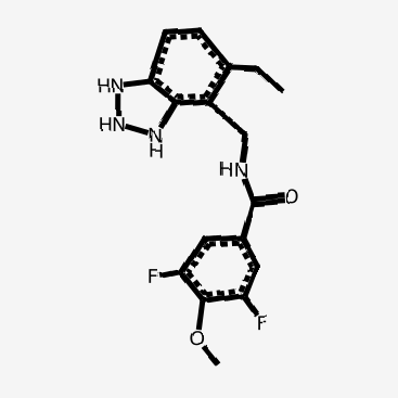 CCc1ccc2c(c1CNC(=O)c1cc(F)c(OC)c(F)c1)NNN2